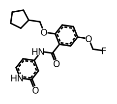 O=C(Nc1cc[nH]c(=O)c1)c1cc(OCF)ccc1OCC1CCCC1